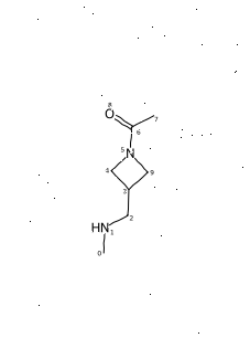 CNCC1CN(C(C)=O)C1